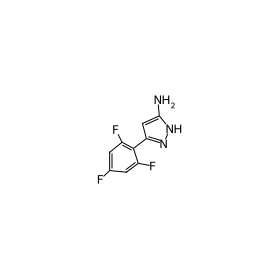 Nc1cc(-c2c(F)cc(F)cc2F)n[nH]1